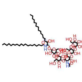 CCCCCCCCCCCCC/C=C/[C@@H](O)[C@H](CO[C@@H]1OC(CO)[C@@H](O[C@@H]2OC(CO)[C@H](O)[C@H](O[C@@H]3OC(CO)[C@@H](O[C@@H]4OC(CO)[C@H](O)[C@H](O[C@H]5OC(CO)[C@H](O)[C@H](O)C5O)C4O)[C@H](O)C3NC(C)=O)C2O)[C@H](O)C1O)NC(=O)CCCCCCCCCCCCCCCCCCC